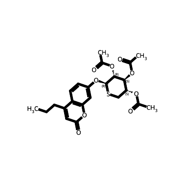 CCCc1cc(=O)oc2cc(O[C@@H]3SC[C@@H](OC(C)=O)[C@H](OC(C)=O)[C@H]3OC(C)=O)ccc12